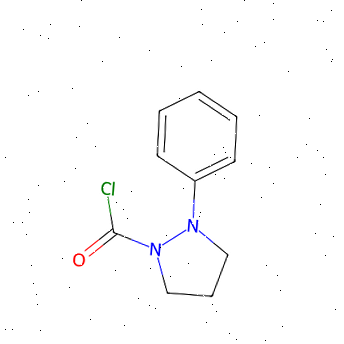 O=C(Cl)N1CCCN1c1ccccc1